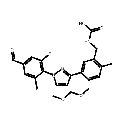 COCOC.Cc1ccc(-c2ccn(-c3c(F)cc(C=O)cc3F)n2)cc1CNC(=O)O